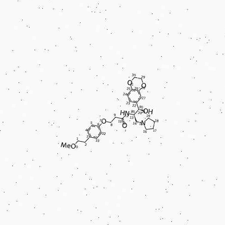 COCCc1ccc(OCCC(=O)N[C@H](CN2CCCC2)[C@H](O)c2ccc3c(c2)OCCO3)cc1